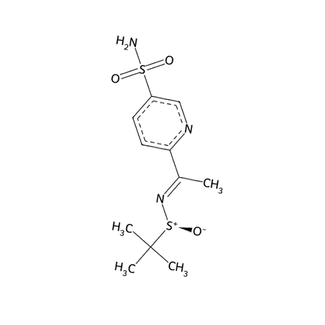 C/C(=N\[S@@+]([O-])C(C)(C)C)c1ccc(S(N)(=O)=O)cn1